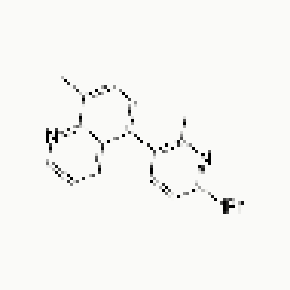 Cc1nc(C(C)C)ccc1-c1ccc(C)c2ncccc12